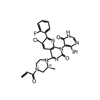 C=CC(=O)N1CCN(c2nc(=O)n(-c3c(C(C)C)nc[nH]c3=O)c3nc(-c4ccccc4F)c(Cl)cc23)[C@@H](C)C1